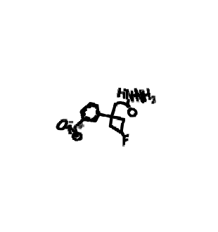 NNC(=O)CC1(c2cccc([N+](=O)[O-])c2)CC(F)C1